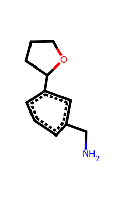 NCc1cccc(C2CCCO2)c1